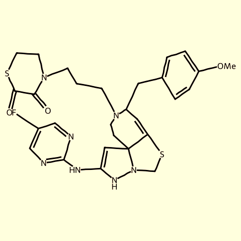 COc1ccc(CC2C=C3SCN4NC(Nc5ncc(F)cn5)=CC34CCN2CCCN2CCSC(=O)C2=O)cc1